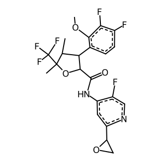 COc1c(C2C(C(=O)Nc3cc(C4CO4)ncc3F)OC(C)(C(F)(F)F)C2C)ccc(F)c1F